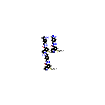 CSSc1ccc(C(=O)NCc2ccc3[nH]ccc3c2)c2cccnc12.CSSc1ccc(C(=O)NCc2ccc3[nH]ncc3c2)c2cccnc12.CSSc1ccc(C(=O)NCc2ccc3cc[nH]c3c2)c2cccnc12